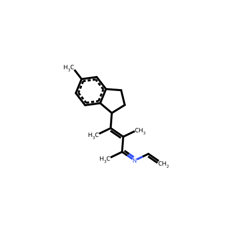 C=C/N=C(C)\C(C)=C(/C)C1CCc2cc(C)ccc21